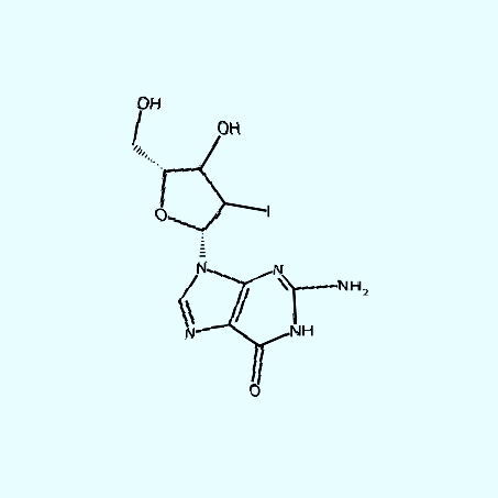 Nc1nc2c(ncn2[C@@H]2O[C@H](CO)C(O)C2I)c(=O)[nH]1